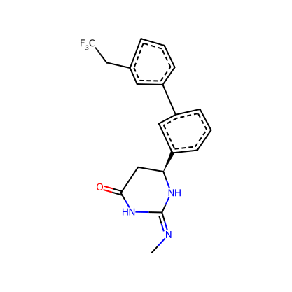 C/N=C1\NC(=O)C[C@@H](c2cccc(-c3cccc(CC(F)(F)F)c3)c2)N1